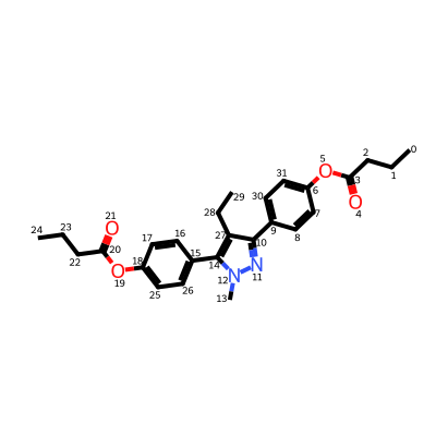 CCCC(=O)Oc1ccc(-c2nn(C)c(-c3ccc(OC(=O)CCC)cc3)c2CC)cc1